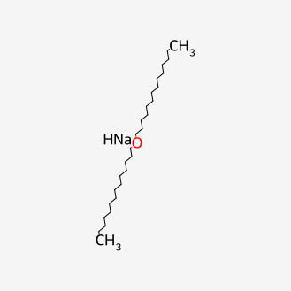 CCCCCCCCCCCCCCOCCCCCCCCCCCCCC.[NaH]